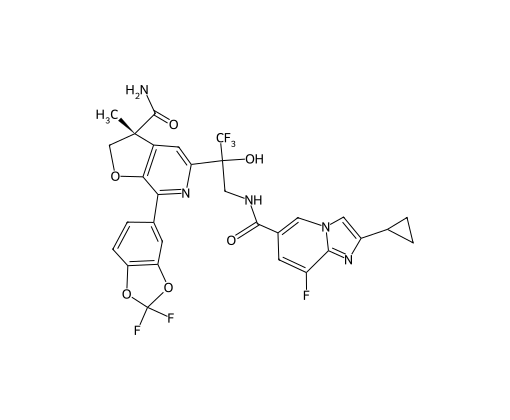 C[C@]1(C(N)=O)COc2c1cc(C(O)(CNC(=O)c1cc(F)c3nc(C4CC4)cn3c1)C(F)(F)F)nc2-c1ccc2c(c1)OC(F)(F)O2